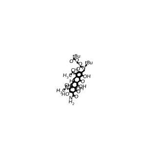 CN(C)c1cc(CN(CC(C)(C)C)C(=O)OCOC(=O)C(C)(C)C)c(O)c2c1C[C@H]1C[C@H]3[C@@H](N(C)C)C(O)=C(C(N)=O)C(=O)[C@@]3(O)C(O)=C1C2=O